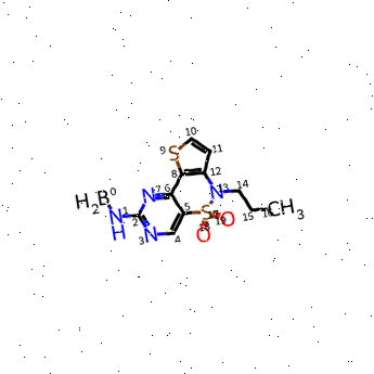 BNc1ncc2c(n1)-c1sccc1N(CCC)S2(=O)=O